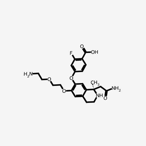 C[C@]1(CC(N)=O)NCCc2cc(OCCOCCN)c(Oc3ccc(C(=O)O)c(F)c3)cc21